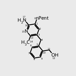 CCCCCc1cc(Cc2ccccc2CO)c(C)nc1N